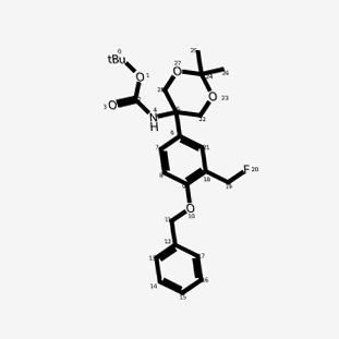 CC(C)(C)OC(=O)NC1(c2ccc(OCc3ccccc3)c(CF)c2)COC(C)(C)OC1